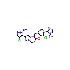 CC(C)n1ccnc1-c1ccc(CN2C(=O)CCn3nc(-c4c(Cl)cnn4C(C)C)cc32)cc1Cl